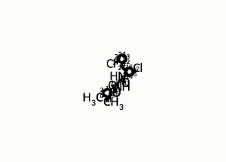 Cc1ccc(S(=O)(=O)NCC(=O)Nc2ccc(Cl)cc2Cc2ccccc2Cl)cc1C